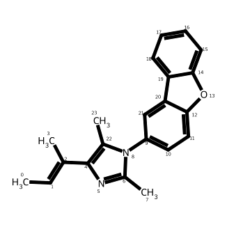 C/C=C(\C)c1nc(C)n(-c2ccc3oc4ccccc4c3c2)c1C